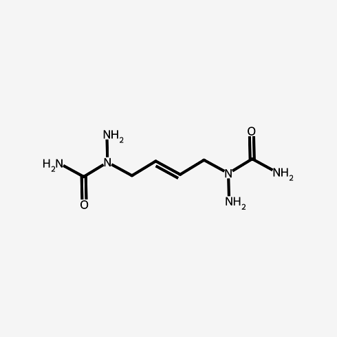 NC(=O)N(N)C/C=C/CN(N)C(N)=O